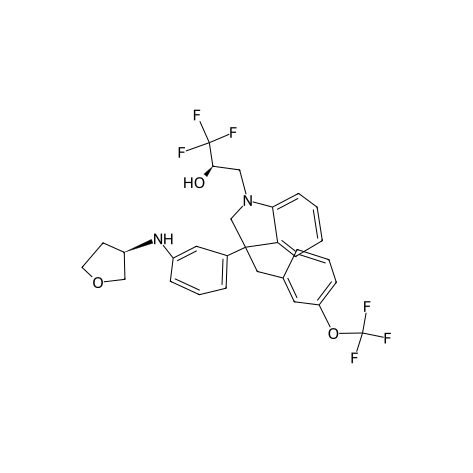 O[C@H](CN1CC(Cc2cccc(OC(F)(F)F)c2)(c2cccc(N[C@@H]3CCOC3)c2)c2ccccc21)C(F)(F)F